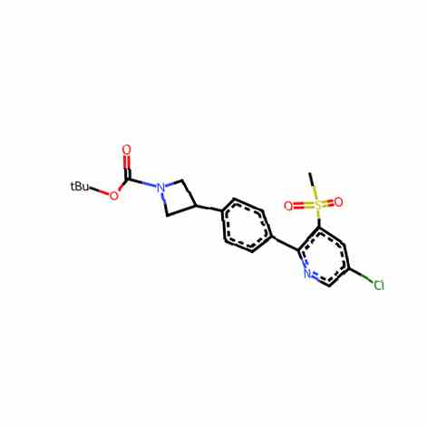 CC(C)(C)OC(=O)N1CC(c2ccc(-c3ncc(Cl)cc3S(C)(=O)=O)cc2)C1